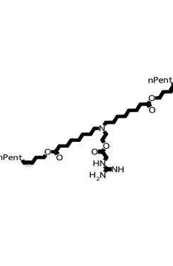 CCCCC/C=C\CCOC(=O)CCCCCCCN(CCCCCCCC(=O)OCC/C=C\CCCCC)CCOC(=O)CNC(=N)N